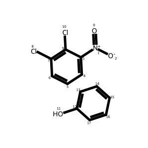 O=[N+]([O-])c1cccc(Cl)c1Cl.Oc1ccccc1